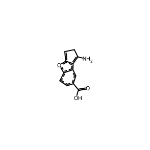 NC1=c2c(oc3ccc(C(=O)O)cc23)=CC1